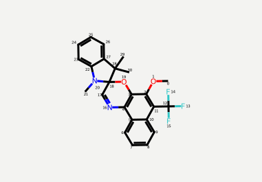 COc1c2c(c3ccccc3c1C(F)(F)F)N=CC1(O2)N(C)c2ccccc2C1(C)C